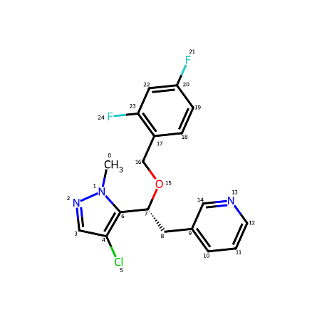 Cn1ncc(Cl)c1[C@@H](Cc1cccnc1)OCc1ccc(F)cc1F